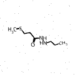 CCCNNC(=O)CCSC